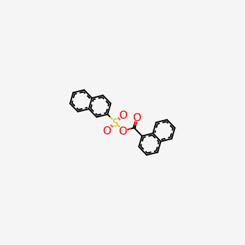 O=C(OS(=O)(=O)c1ccc2ccccc2c1)c1cccc2ccccc12